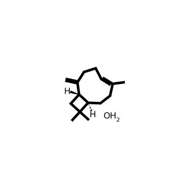 C=C1CC/C=C(\C)CC[C@@H]2[C@@H]1CC2(C)C.O